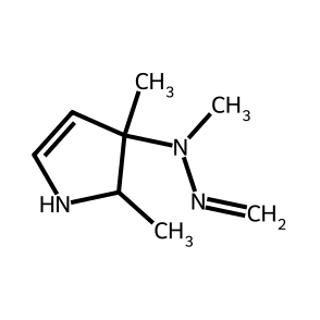 C=NN(C)C1(C)C=CNC1C